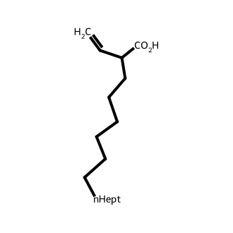 C=CC(CCCCCCCCCCCCC)C(=O)O